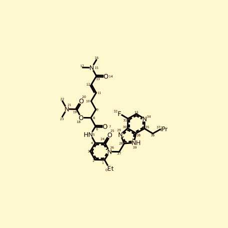 CCc1ccc(NC(=O)C(CCC=CC(=O)N(C)C)OC(=O)N(C)C)c(=O)n1Cc1nc2c(F)cnc(CC(C)C)c2[nH]1